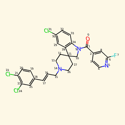 O=C(c1ccnc(F)c1)N1CC2(CCN(C/C=C/c3ccc(Cl)c(Cl)c3)CC2)c2cc(Cl)ccc21